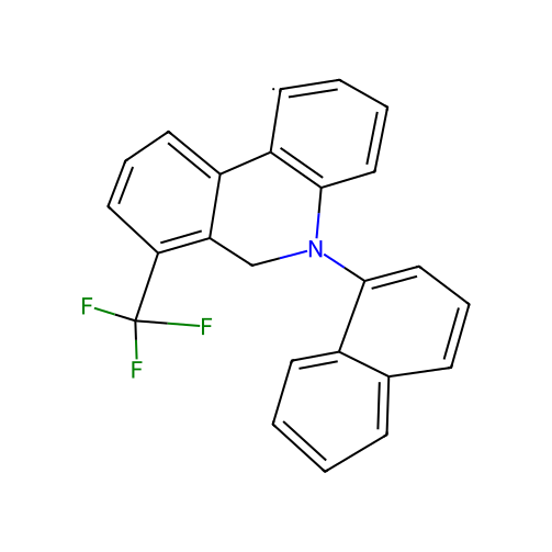 FC(F)(F)c1cccc2c1CN(c1cccc3ccccc13)c1ccc[c]c1-2